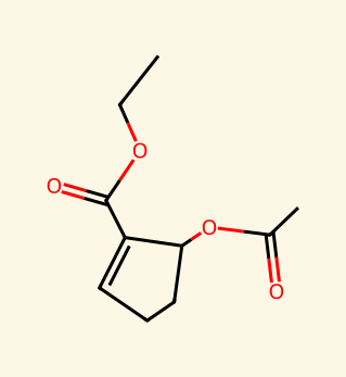 CCOC(=O)C1=CCCC1OC(C)=O